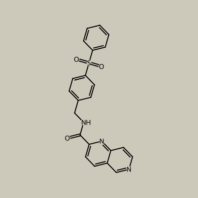 O=C(NCc1ccc(S(=O)(=O)c2ccccc2)cc1)c1ccc2cnccc2n1